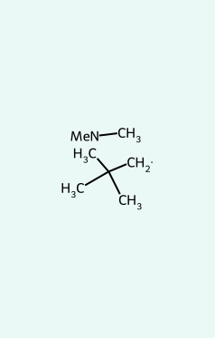 CNC.[CH2]C(C)(C)C